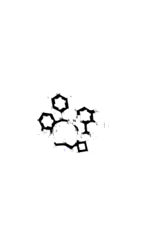 O=C1c2c(O)c(=O)ccn2N2CN1C1(/C=C/COc3c(F)cccc3[C@H]2c2ccccc2)CCC1